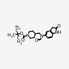 CC(C)(C)OC(=O)N1CCC(CN(C=O)c2ccc3c(c2)CC(=O)N3)CC1